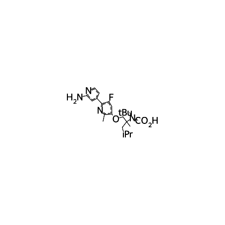 Cc1nc(-c2ccnc(N)c2)c(F)cc1OCC(C)(CC(C)C)N(C(=O)O)C(C)(C)C